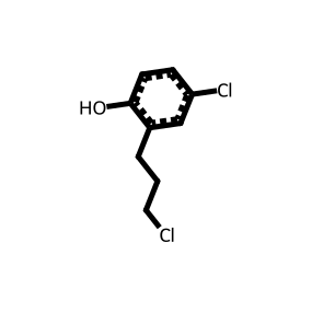 Oc1ccc(Cl)cc1CCCCl